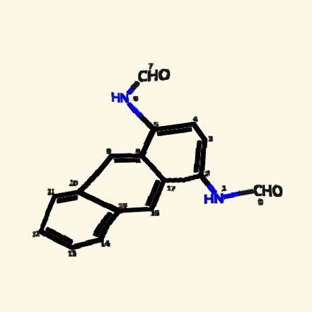 O=CNc1ccc(NC=O)c2cc3ccccc3cc12